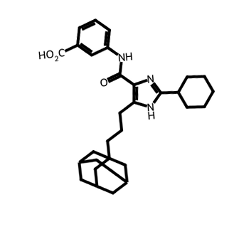 O=C(O)c1cccc(NC(=O)c2nc(C3CCCCC3)[nH]c2CCCC23CC4CC(CC(C4)C2)C3)c1